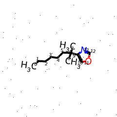 CCCCCCC(C)(C)c1cocn1